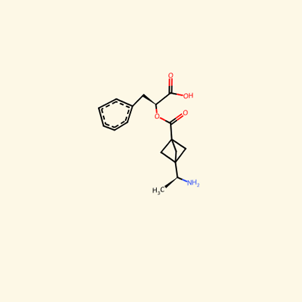 C[C@H](N)C12CC(C(=O)O[C@@H](Cc3ccccc3)C(=O)O)(C1)C2